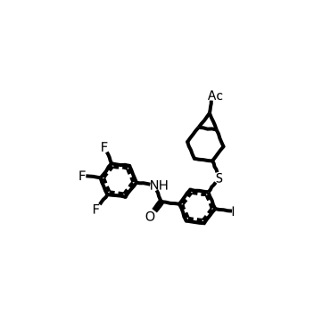 CC(=O)C1C2CCC(Sc3cc(C(=O)Nc4cc(F)c(F)c(F)c4)ccc3I)CC21